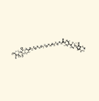 O=C1CCC(N2C(=O)c3ccc(OCCOCCOCCOCCOCCOCCNc4ccc(-c5ccc(-c6cc7ccncc7[nH]6)cc5)cn4)cc3C2=O)C(=O)N1